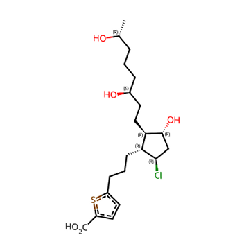 C[C@@H](O)CCC[C@H](O)CC[C@@H]1[C@@H](CCCc2ccc(C(=O)O)s2)[C@H](Cl)C[C@H]1O